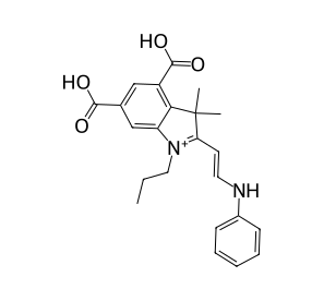 CCC[N+]1=C(/C=C/Nc2ccccc2)C(C)(C)c2c(C(=O)O)cc(C(=O)O)cc21